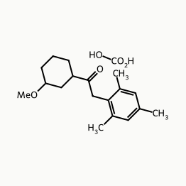 COC1CCCC(C(=O)Cc2c(C)cc(C)cc2C)C1.O=C(O)O